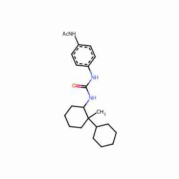 CC(=O)Nc1ccc(NC(=O)NC2CCCCC2(C)C2CCCCC2)cc1